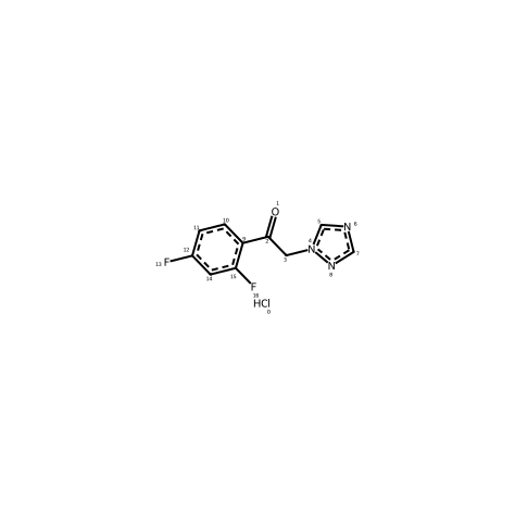 Cl.O=C(Cn1cncn1)c1ccc(F)cc1F